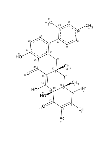 CC(=O)C1=C(O)C(C(C)C)[C@@]2(C)C[C@@]3(C)Cc4c(-c5ccc(C)cc5C)ccc(O)c4C(=O)C3=C(O)[C@@]2(O)C1=O